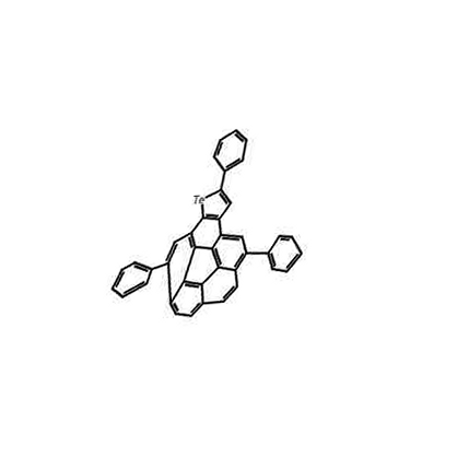 c1ccc(-c2cc3c4cc(-c5ccccc5)c5ccc6ccc7c(-c8ccccc8)cc(c3[te]2)c2c7c6c5c42)cc1